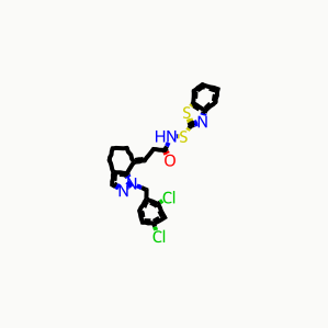 O=C(C/C=C1\CCCc2cnn(Cc3ccc(Cl)cc3Cl)c21)NSc1nc2ccccc2s1